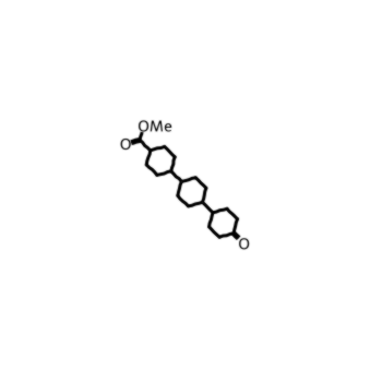 COC(=O)C1CCC(C2CCC(C3CCC(=O)CC3)CC2)CC1